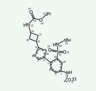 CCOC(=O)Nc1ccc(-c2cnc(C3CC(NC(=O)OC(C)C)C3)s2)c(S(=O)(=O)NC(C)(C)C)c1